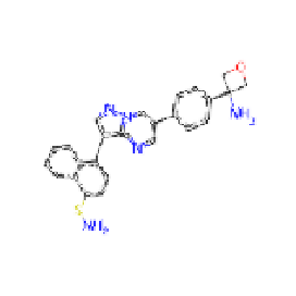 NSc1ccc(-c2cnn3cc(-c4ccc(C5(N)COC5)cc4)cnc23)c2ccccc12